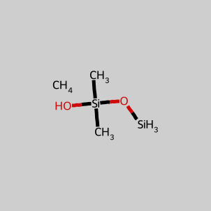 C.C[Si](C)(O)O[SiH3]